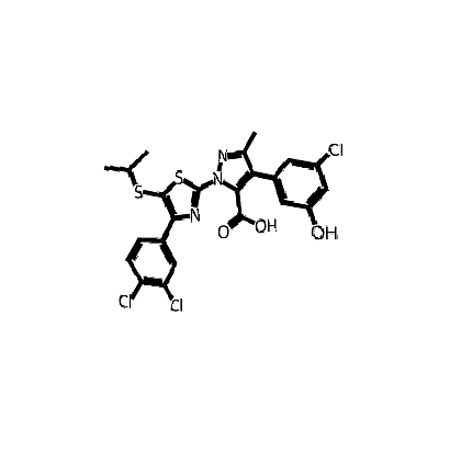 Cc1nn(-c2nc(-c3ccc(Cl)c(Cl)c3)c(SC(C)C)s2)c(C(=O)O)c1-c1cc(O)cc(Cl)c1